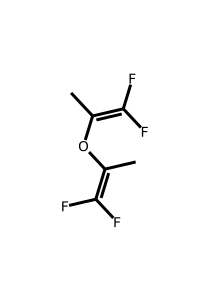 CC(OC(C)=C(F)F)=C(F)F